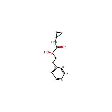 O=C(NC1CC1)C(O)[CH]Cc1ccccc1